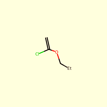 C=C(Cl)OCCC